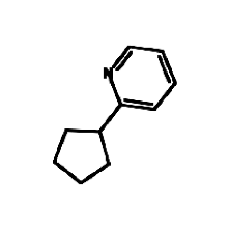 c1ccc(C2CCCC2)nc1